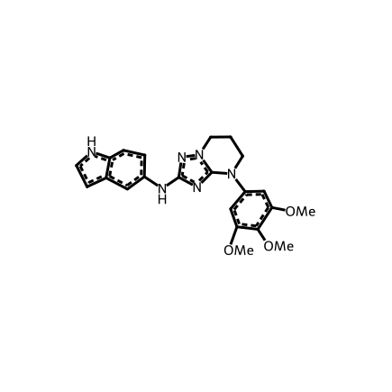 COc1cc(N2CCCn3nc(Nc4ccc5[nH]ccc5c4)nc32)cc(OC)c1OC